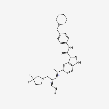 C=N/C=C(\C=C(/C)c1ccc2[nH]nc(C(=O)Nc3ccc(CN4CCCCC4)nc3)c2c1)CN1CCC(F)(F)C1